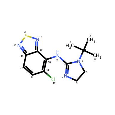 CC(C)(C)N1CCN=C1Nc1c(Cl)ccc2nsnc12